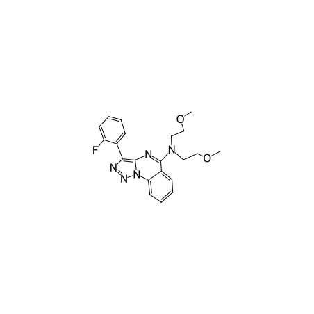 COCCN(CCOC)c1nc2c(-c3ccccc3F)nnn2c2ccccc12